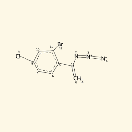 C=C(N=[N+]=[N-])c1ccc(Cl)cc1Br